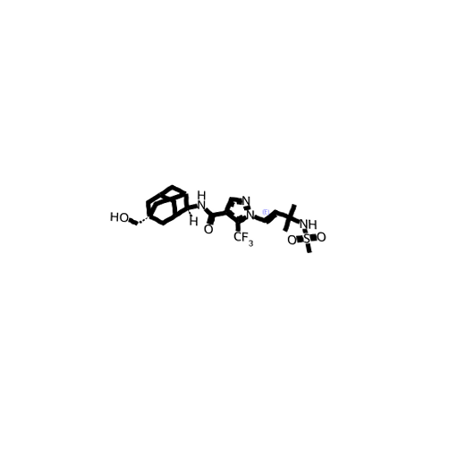 CC(C)(/C=C/n1ncc(C(=O)N[C@H]2C3CC4CC2C[C@](CO)(C4)C3)c1C(F)(F)F)NS(C)(=O)=O